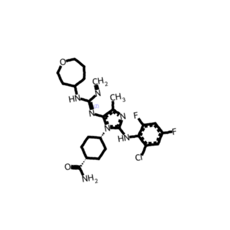 C=N/C(=N\c1c(C)nc(Nc2c(F)cc(F)cc2Cl)n1[C@H]1CC[C@@H](C(N)=O)CC1)NC1CCCOCC1